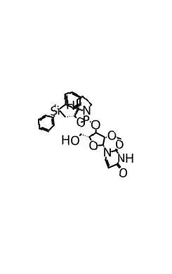 CO[C@H]1C(O[P@@]2O[C@H](C[Si](C)(c3ccccc3)c3ccccc3)[C@@H]3CCCN32)[C@@H](CO)O[C@H]1n1ccc(=O)[nH]c1=O